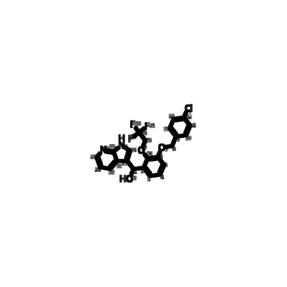 OC(c1cccc(OCc2ccc(Cl)cc2)c1OCC(F)(F)F)c1c[nH]c2ncccc12